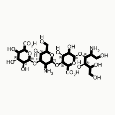 NC(CO)[C@@H](O[C@@H]1OC(C(=O)O)[C@@H](O[C@@H]2OC(CO)[C@@H](O)[C@H](O[C@@H]3OC(C(=O)O)C(O)[C@@H](O)[C@@H]3O)C2N)[C@H](O)C1O)[C@H](O)C(O)CO